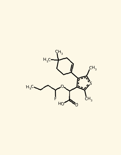 CCCC(F)OC(C(=O)O)c1c(C)sc(C)c1C1=CCC(C)(C)CC1